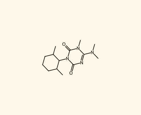 CC1CCCC(C)C1n1c(=O)nc(N(C)C)n(C)c1=O